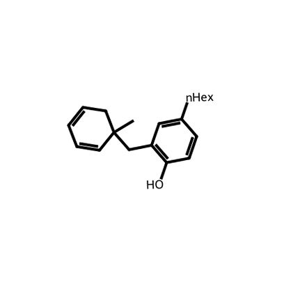 CCCCCCc1ccc(O)c(CC2(C)C=CC=CC2)c1